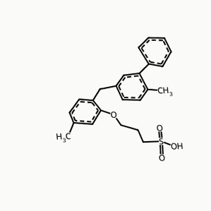 Cc1ccc(Cc2ccc(C)c(-c3ccccc3)c2)c(OCCCS(=O)(=O)O)c1